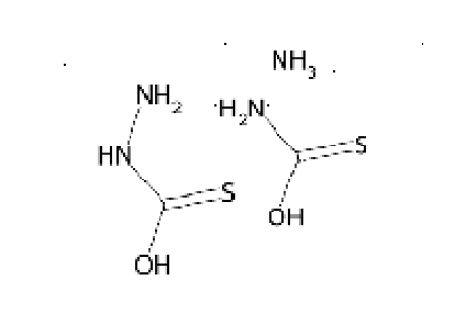 N.NC(O)=S.NNC(O)=S